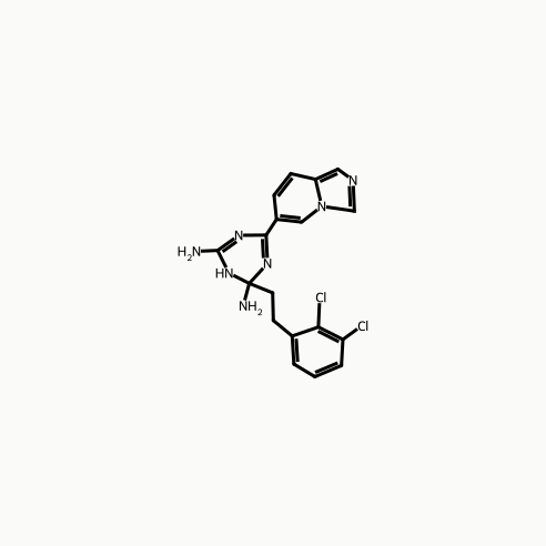 NC1=NC(c2ccc3cncn3c2)=NC(N)(CCc2cccc(Cl)c2Cl)N1